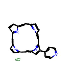 C1=CC2=NC1=CC1=NC(=CC3=NC(=CC4=NC(=C2)C=C4)C=C3c2ccncc2)C=C1.Cl